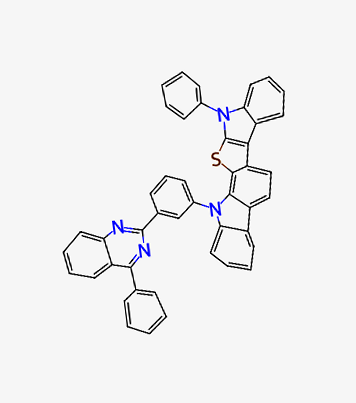 c1ccc(-c2nc(-c3cccc(-n4c5ccccc5c5ccc6c(sc7c6c6ccccc6n7-c6ccccc6)c54)c3)nc3ccccc23)cc1